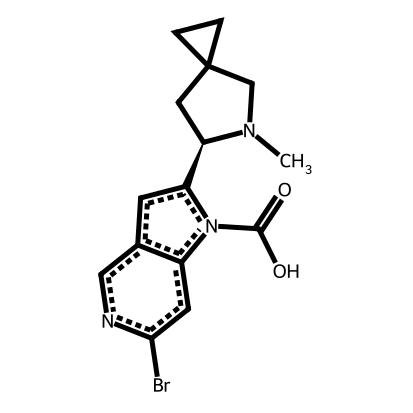 CN1CC2(CC2)C[C@@H]1c1cc2cnc(Br)cc2n1C(=O)O